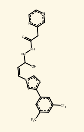 O=C(Cc1cnccn1)NNC(O)/C=C\n1cnc(-c2cc(C(F)(F)F)cc(C(F)(F)F)c2)n1